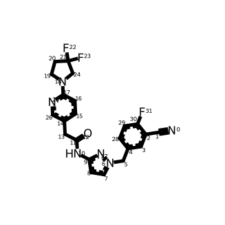 N#Cc1cc(Cn2ccc(NC(=O)Cc3ccc(N4CCC(F)(F)C4)nc3)n2)ccc1F